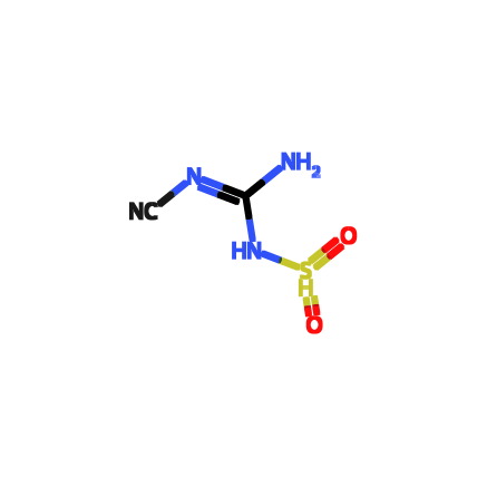 N#CN=C(N)N[SH](=O)=O